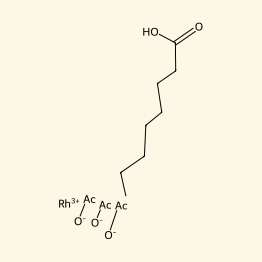 CC(=O)[O-].CC(=O)[O-].CC(=O)[O-].CCCCCCCC(=O)O.[Rh+3]